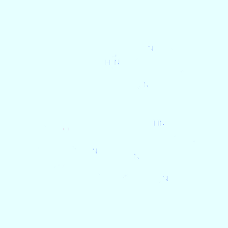 CC(C)(C)OC(=O)N1CCN(c2ncccc2NCc2ccnc(N)n2)CC1